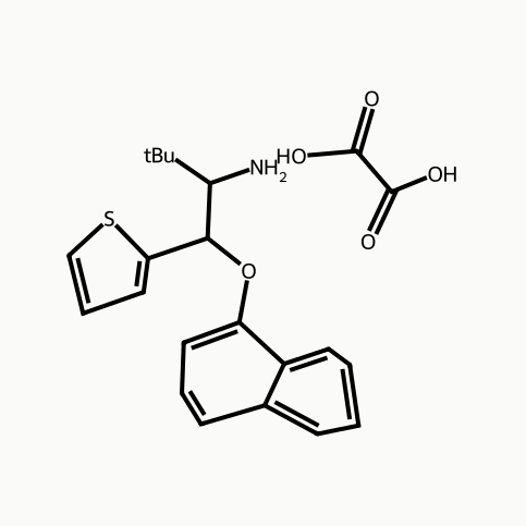 CC(C)(C)C(N)C(Oc1cccc2ccccc12)c1cccs1.O=C(O)C(=O)O